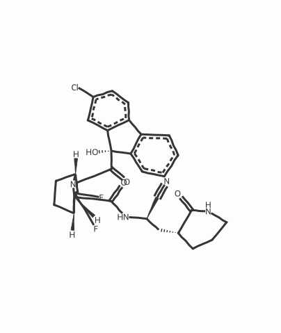 N#C[C@@H](C[C@H]1CCCNC1=O)NC(=O)[C@@H]1[C@@H]2CC[C@@H](CC2(F)F)N1C(=O)[C@]1(O)c2ccccc2-c2ccc(Cl)cc21